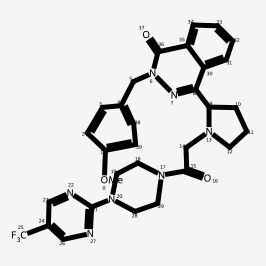 COc1ccc(Cn2nc(C3CCCN3CC(=O)N3CCN(c4ncc(C(F)(F)F)cn4)CC3)c3ccccc3c2=O)cc1